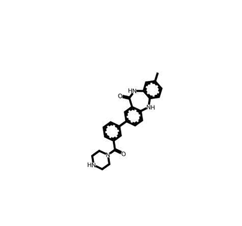 Cc1ccc2c(c1)NC(=O)c1cc(-c3cccc(C(=O)N4CCNCC4)c3)ccc1N2